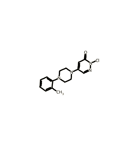 Cc1ccccc1N1CCN(c2cnn(Cl)c(=O)c2)CC1